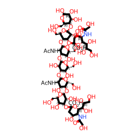 CC(=O)N[C@H]1[C@H](O[C@H]2[C@@H](O)[C@@H](CO)O[C@@H](O[C@H]3[C@@H](O)[C@@H](CO)O[C@@H](O[C@@H]4[C@H](O[C@]5(C(=O)O)C[C@H](O)[C@@H](NC(=O)CO)[C@H]([C@H](O)[C@H](O)CO)O5)[C@@H](O)[C@H](O[C@H]5[C@H](O)[C@@H](O)[C@H](O)O[C@@H]5CO)O[C@@H]4CO)[C@@H]3NC(C)=O)[C@@H]2O)O[C@H](CO)[C@@H](O[C@@H]2O[C@H](CO)[C@H](O)[C@H](O[C@]3(C(=O)O)C[C@H](O)[C@@H](NC(=O)CO)[C@H]([C@H](O)[C@H](O)CO)O3)[C@H]2O)[C@@H]1O